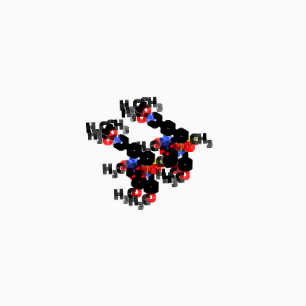 COc1ccc(CN(Cc2ccc(OC)cc2)S(=O)(=O)c2c([S+](C)[O-])ccc(-c3ccc(C4CCN(C(=O)OC(C)(C)C)CC4)cc3)c2-c2nnn(Cc3ccc(OC)cc3)n2)cc1.COc1ccc(CN(Cc2ccc(OC)cc2)S(=O)(=O)c2c([S+](C)[O-])ccc(-c3ccc(C4CCN(C(=O)OC(C)(C)C)CC4)cc3)c2-c2nnnn2Cc2ccc(OC)cc2)cc1